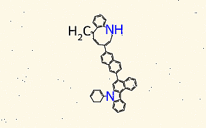 C=C1/C=C\C(c2ccc3cc(-c4cc5c(c6ccccc46)c4ccccc4n5C4=CC=CCC4)ccc3c2)=C/CNc2ccccc21